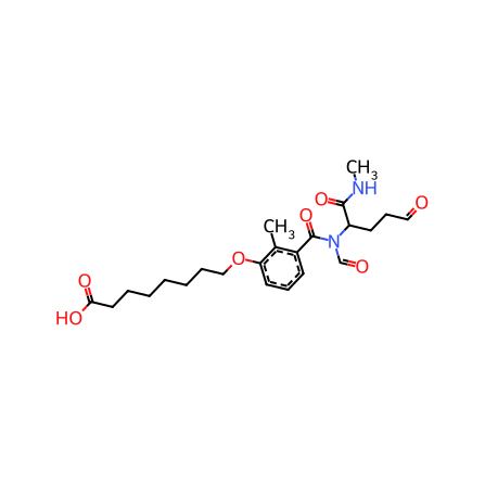 CNC(=O)C(CCC=O)N(C=O)C(=O)c1cccc(OCCCCCCCC(=O)O)c1C